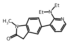 CCN(CC)c1ncccc1-c1ccc2c(c1)CC(=O)N2C